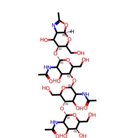 CC(=O)NC1C(O)[C@H](O)C(CO)O[C@H]1O[C@@H]1C(CO)O[C@@H](O[C@@H]2C(CO)O[C@@H](O[C@@H]3C(CO)O[C@@H]4OC(C)=NC4C3O)C(NC(C)=O)C2O)C(NC(C)=O)C1O